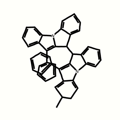 CC1C=c2c(-c3ccccc3)c3n(c2=CC1)-c1ccccc1C3C1c2ccccc2-n2c1c(-c1ccccc1)c1ccccc12